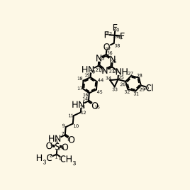 CC(C)S(=O)(=O)NC(=O)CCCCNC(=O)c1ccc(Nc2nc(NC3(c4ccc(Cl)cc4)CC3)nc(OCC(F)(F)F)n2)cc1